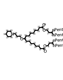 CCCCCC(CCCCC)CCOC(=O)CCCCCCCC(CCCCCCCC(=O)OCCC(CCCCC)CCCCC)OCCCN1CCCCC1